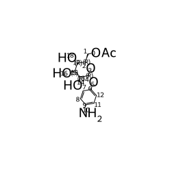 CC(=O)OC[C@H]1O[C@H](Oc2ccc(N)cc2)[C@H](O)[C@@H](O)[C@H]1O